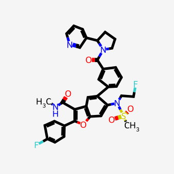 CNC(=O)c1c(-c2ccc(F)cc2)oc2cc(N(CCF)S(C)(=O)=O)c(-c3cccc(C(=O)N4CCCC4c4cccnc4)c3)cc12